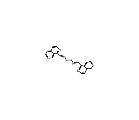 C(=NCCN=Cc1nccc2ccccc12)c1nccc2ccccc12